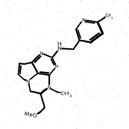 COCC1Cn2ccc3nc(NCc4ccc(C(F)(F)F)nc4)nc(c32)N1C